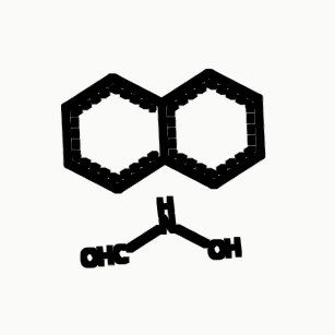 O=CNO.c1ccc2ccccc2c1